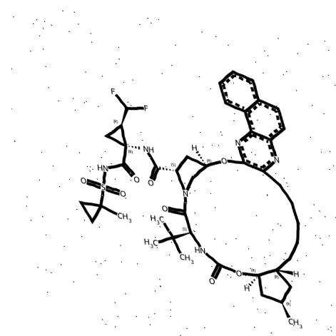 C[C@@H]1C[C@H]2CCCCCc3nc4ccc5ccccc5c4nc3O[C@@H]3C[C@@H](C(=O)N[C@]4(C(=O)NS(=O)(=O)C5(C)CC5)C[C@H]4C(F)F)N(C3)C(=O)[C@H](C(C)(C)C)NC(=O)O[C@@H]2C1